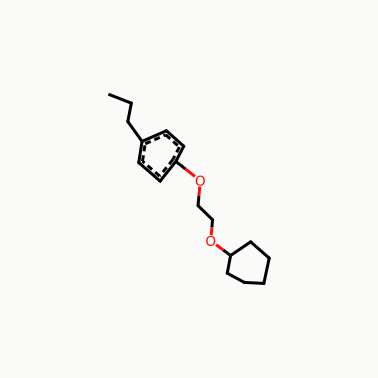 CCCc1ccc(OCCOC2CCCCC2)cc1